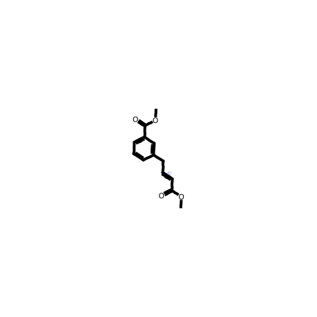 COC(=O)/C=C/Cc1cccc(C(=O)OC)c1